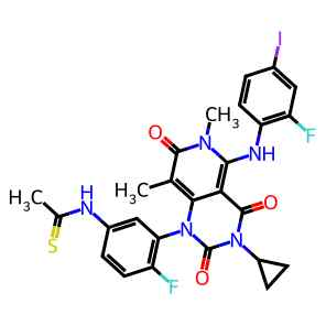 CC(=S)Nc1ccc(F)c(-n2c(=O)n(C3CC3)c(=O)c3c(Nc4ccc(I)cc4F)n(C)c(=O)c(C)c32)c1